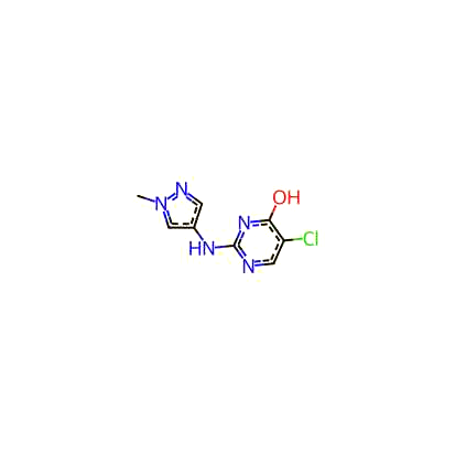 Cn1cc(Nc2ncc(Cl)c(O)n2)cn1